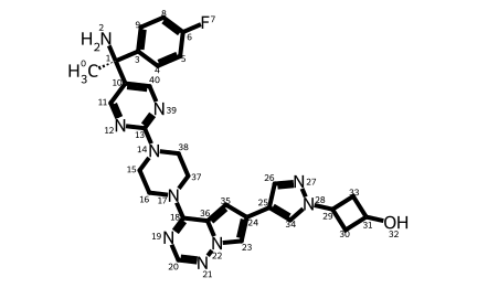 C[C@](N)(c1ccc(F)cc1)c1cnc(N2CCN(c3ncnn4cc(-c5cnn(C6CC(O)C6)c5)cc34)CC2)nc1